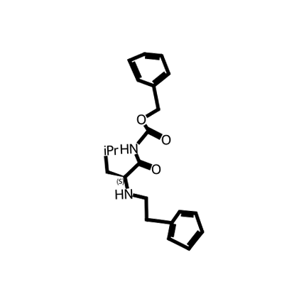 CC(C)C[C@H](NCCc1ccccc1)C(=O)NC(=O)OCc1ccccc1